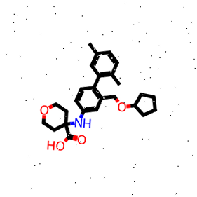 Cc1ccc(C)c(-c2ccc(NC3(C(=O)O)CCOCC3)cc2COC2CCCC2)c1